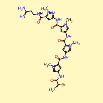 C=C(Br)C(=O)Nc1cc(C(=O)Nc2cc(C(=O)Nc3cc(C(=O)Nc4cc(C(=O)NCCC(=N)N)n(C)n4)n(C)c3)n(C)c2)n(C)c1